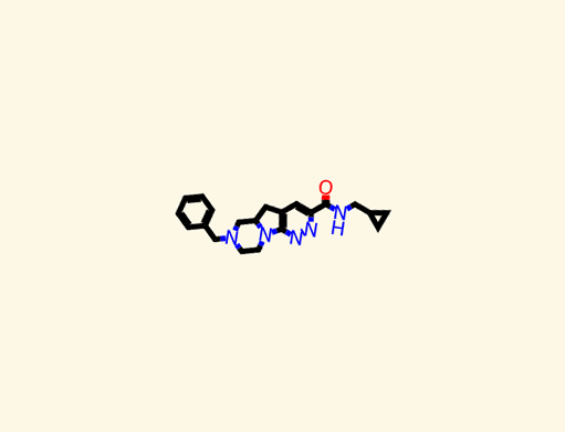 O=C(NCC1CC1)c1cc2c(nn1)N1CCN(Cc3ccccc3)CC1C2